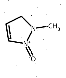 CN1CC=C[N+]1=O